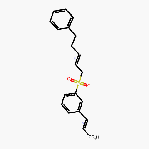 O=C(O)/C=C/c1cccc(S(=O)(=O)C/C=C/CCc2ccccc2)c1